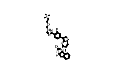 C[Si](C)(C)CCOCn1cnc(-c2ccc(-c3cnn4ccc(N5C(=O)O[C@@H]6Cc7ccccc7[C@@H]65)nc34)cc2F)n1